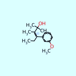 CC/C(=C(\C)C(C)(C)O)c1cccc(OC)c1